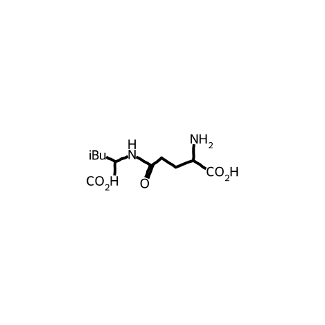 CCC(C)C(NC(=O)CCC(N)C(=O)O)C(=O)O